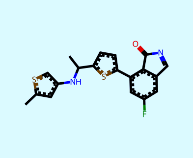 Cc1cc(NC(C)c2ccc(-c3cc(F)cc4c3C(=O)N=C4)s2)cs1